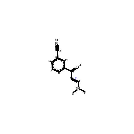 CN(C)/C=C/C(=O)c1cccc(C#N)c1